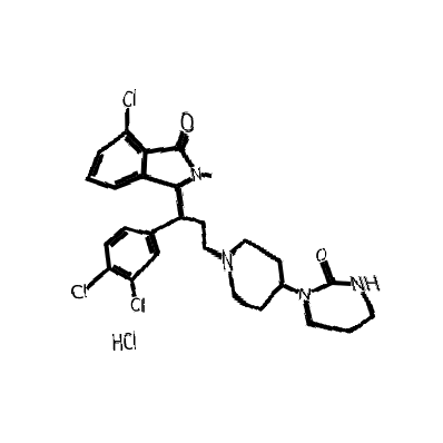 CN1C(=O)c2c(Cl)cccc2C1C(CCN1CCC(N2CCCNC2=O)CC1)c1ccc(Cl)c(Cl)c1.Cl